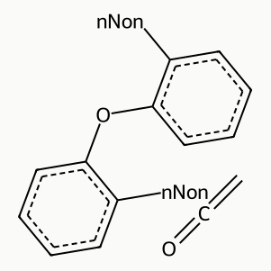 C=C=O.CCCCCCCCCc1ccccc1Oc1ccccc1CCCCCCCCC